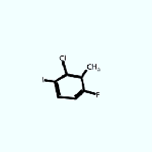 CC1C(F)=CC=C(I)C1Cl